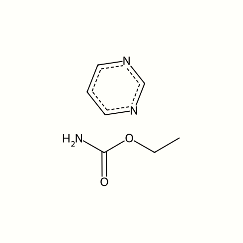 CCOC(N)=O.c1cncnc1